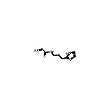 C=CC(=O)NCCCc1ncc[nH]1